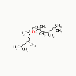 CCC(C=C(C)CCC=C(C)CCC=C(C)C)OC(C=C(C)CCC=C(C)CCC=C(C)C)CC